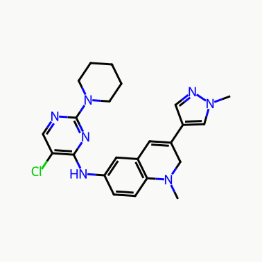 CN1CC(c2cnn(C)c2)=Cc2cc(Nc3nc(N4CCCCC4)ncc3Cl)ccc21